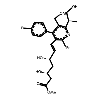 COCc1c([C@H](C)CO)nc(C(C)C)c(/C=C/[C@@H](O)C[C@@H](O)CC(=O)OC)c1-c1ccc(F)cc1